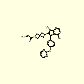 C=CC(=O)N1CC2(CC(c3c(-c4ccc(Oc5ncccn5)cc4)c4c(N)ncnc4n3C)C2)C1